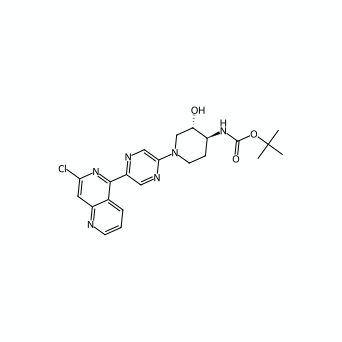 CC(C)(C)OC(=O)N[C@H]1CCN(c2cnc(-c3nc(Cl)cc4ncccc34)cn2)C[C@@H]1O